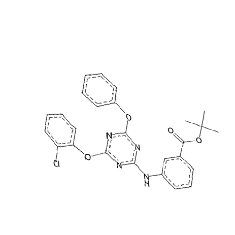 CC(C)(C)OC(=O)c1cccc(Nc2nc(Oc3ccccc3)nc(Oc3ccccc3Cl)n2)c1